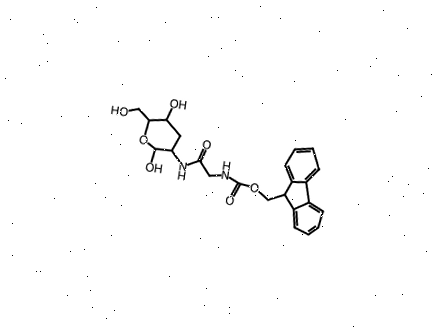 O=C(CNC(=O)OCC1c2ccccc2-c2ccccc21)NC1CC(O)C(CO)OC1O